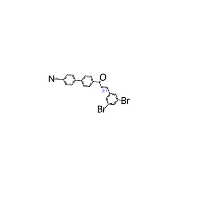 N#Cc1ccc(-c2ccc(C(=O)/C=C/c3cc(Br)cc(Br)c3)cc2)cc1